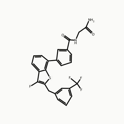 NC(=O)CNC(=O)c1cccc(-c2cccc3c(F)c(Cc4cccc(C(F)(F)F)c4)sc23)c1